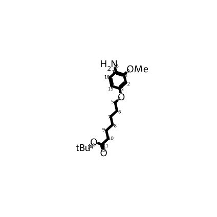 COc1cc(OCCCCCCC(=O)OC(C)(C)C)ccc1N